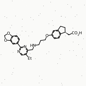 CCc1cnc(-c2ccc3c(c2)OCO3)nc1CNCCCOc1ccc2c(c1)CC[C@H]2CC(=O)O